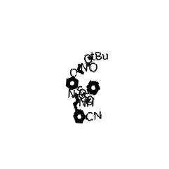 CC(C)(C)OC(=O)N1CC(Oc2ccc3nc(C(Cc4cccc(C#N)c4)NS(=O)(=O)c4ccccc4)sc3c2)C1